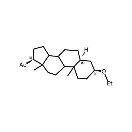 CCO[C@H]1CCC2(C)C3CCC4(C)C(CC[C@@H]4C(C)=O)C3CC[C@H]2C1